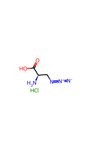 Cl.[N-]=[N+]=NC[C@@H](N)C(=O)O